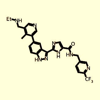 CCNCc1cncc(-c2ccc3[nH]nc(-c4ncc(C(=O)NCc5ccc(C(F)(F)F)nc5)[nH]4)c3c2)c1C